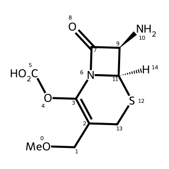 COCC1=C(OC(=O)O)N2C(=O)[C@@H](N)[C@H]2SC1